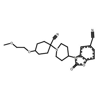 COCCOC1CCC(C#N)(N2CCC(n3c(=O)oc4ccc(C#N)cc43)CC2)CC1